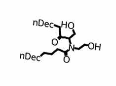 CCCCCCCCCCCCCC(=O)N(CCO)C(CO)C(=O)CCCCCCCCCCC